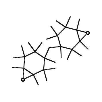 CC1(C)C(C)(C)C2(C)OC2(C)C(C)(C)C1(C)CC1(C)C(C)(C)C(C)(C)C2(C)OC2(C)C1(C)C